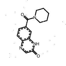 O=C(c1ccc2ncc(=O)[nH]c2c1)N1CCCCC1